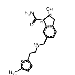 Cc1ccc(CCNCc2ccc3c(c2)[C@@H](C(N)=O)[C@H](O)C3)s1